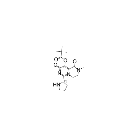 CN1CCn2c([C@@H]3CCCN3)nc(=O)c(OC(=O)C(C)(C)C)c2C1=O